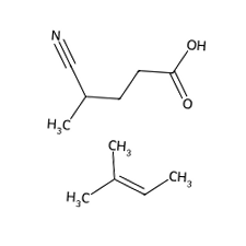 CC(C#N)CCC(=O)O.CC=C(C)C